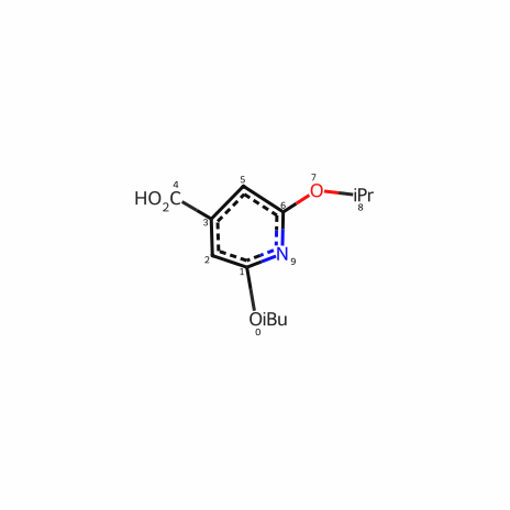 CC(C)COc1cc(C(=O)O)cc(OC(C)C)n1